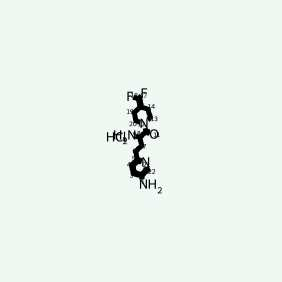 Cl.Nc1ccc(CCC(N)C(=O)N2CCC(=C(F)F)CC2)nc1